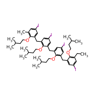 CCc1cc(I)cc(Cc2cc(I)cc(Cc3cc(I)cc(Cc4cc(I)cc(C)c4OCCC(C)C)c3OCCC(C)C)c2OCCC(C)C)c1OCCC(C)C